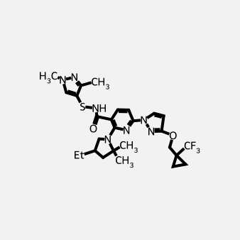 CCC1CN(c2nc(-n3ccc(OCC4(C(F)(F)F)CC4)n3)ccc2C(=O)NSc2cn(C)nc2C)C(C)(C)C1